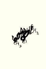 Cc1cncc(N2CCC(c3nnc4n3-c3ccc(Cl)cc3CN(C(C)C(F)(F)F)C4)CC2)n1